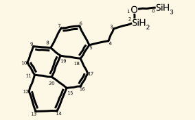 [SiH3]O[SiH2]CCc1ccc2ccc3cccc4ccc1c2c34